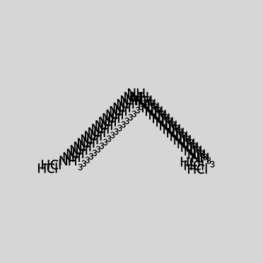 Cl.Cl.Cl.Cl.Cl.N.N.N.N.N.N.N.N.N.N.N.N.N.N.N.N.N.N.N.N.N.N.N.N.N.N.N.N.N.N.N.N.N.N.N.N.N.N